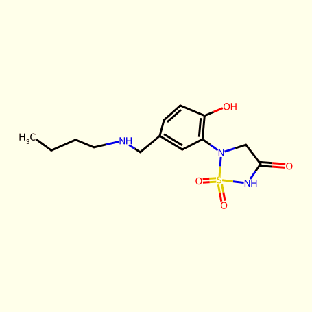 CCCCNCc1ccc(O)c(N2CC(=O)NS2(=O)=O)c1